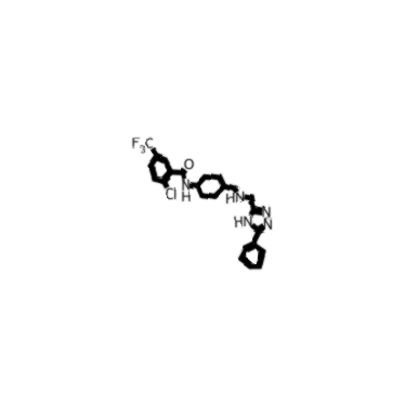 O=C(NC1CCC(CNCc2nnc(-c3ccccc3)[nH]2)CC1)c1cc(C(F)(F)F)ccc1Cl